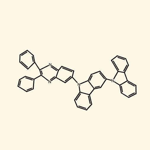 c1ccc(-c2nc3ccc(-n4c5ccccc5c5cc(-n6c7ccccc7c7ccccc76)ccc54)cc3nc2-c2ccccc2)cc1